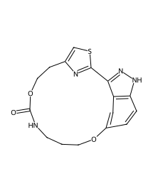 O=C1NCCCOc2ccc3[nH]nc(c3c2)-c2nc(cs2)CCO1